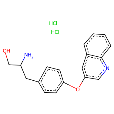 Cl.Cl.NC(CO)Cc1ccc(Oc2cnc3ccccc3c2)cc1